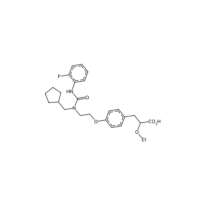 CCOC(Cc1ccc(OCCN(CC2CCCC2)C(=O)Nc2ccccc2F)cc1)C(=O)O